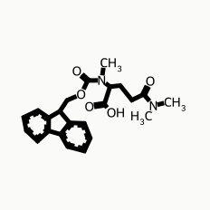 CN(C)C(=O)CCC(C(=O)O)N(C)C(=O)OCC1c2ccccc2-c2ccccc21